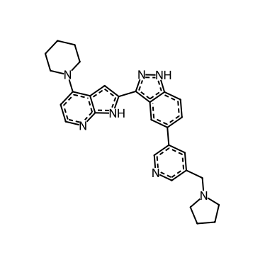 c1cc(N2CCCCC2)c2cc(-c3n[nH]c4ccc(-c5cncc(CN6CCCC6)c5)cc34)[nH]c2n1